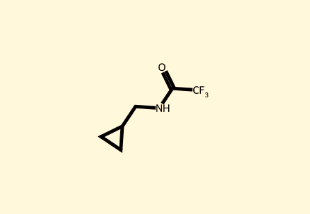 O=C(NCC1CC1)C(F)(F)F